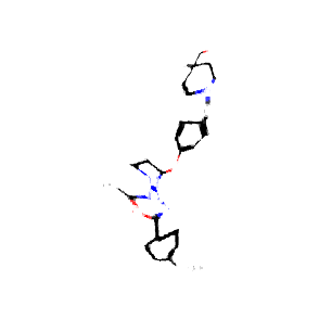 CCC1(CO)CCN(Cc2ccc(OC3CCN3N3N=C(c4ccc(OC)cc4)OC3C=O)cc2)CC1